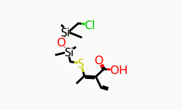 C=C/C(C(=O)O)=C(\C)SC[Si](C)(C)O[Si](C)(C)CCl